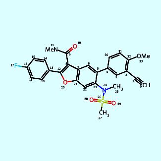 C#Cc1cc(-c2cc3c(C(=O)NC)c(-c4ccc(F)cc4)oc3cc2N(C)S(C)(=O)=O)ccc1OC